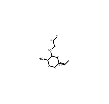 C/C=C1/CCC(O)C(OCCC)C1